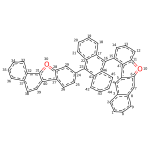 c1ccc2cc3c(cc2c1)oc1cccc(-c2c4ccccc4c(-c4ccc5c(c4)oc4c6ccccc6ccc54)c4ccccc24)c13